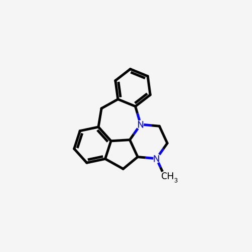 CN1CCN2c3ccccc3Cc3cccc4c3C2C1C4